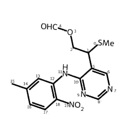 CSC(COC=O)c1cncnc1Nc1cc(C)ccc1[N+](=O)[O-]